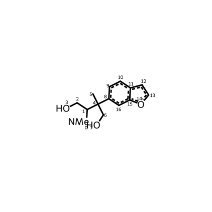 CNC(CO)C(C)(CO)c1ccc2ccoc2c1